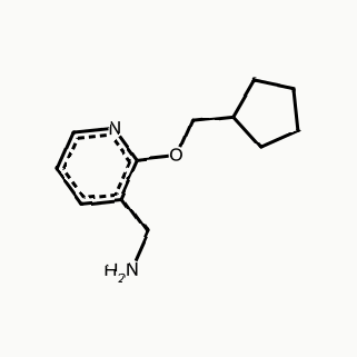 NCc1cccnc1OCC1CCCC1